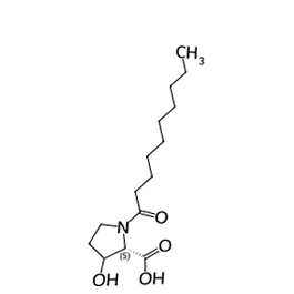 CCCCCCCCCC(=O)N1CCC(O)[C@H]1C(=O)O